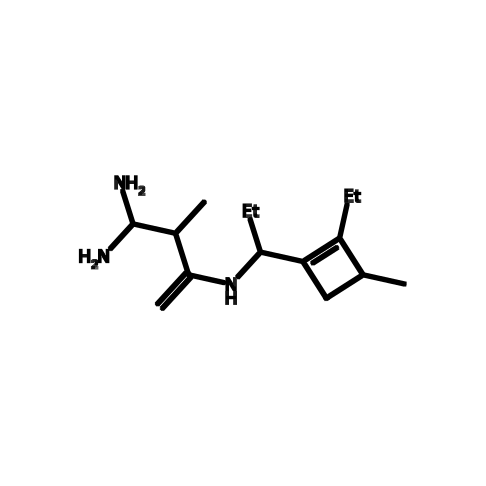 C=C(NC(CC)C1=C(CC)C(C)C1)C(C)C(N)N